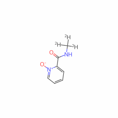 [2H]C([2H])([2H])NC(=O)c1cccc[n+]1[O-]